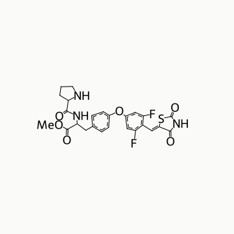 COC(=O)C(Cc1ccc(Oc2cc(F)c(C=C3SC(=O)NC3=O)c(F)c2)cc1)NC(=O)C1CCCN1